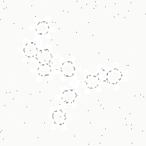 c1ccc(-c2ccc(N(c3cccc(-c4cccc5c4ccc4c(-c6ccccc6)cccc45)c3)c3ccc4c(c3)oc3ccccc34)cc2)cc1